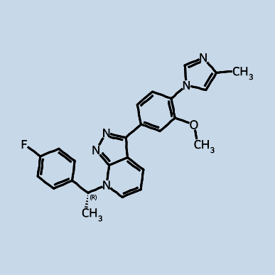 COc1cc(-c2nnc3n([C@H](C)c4ccc(F)cc4)cccc2-3)ccc1-n1cnc(C)c1